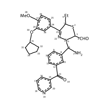 CCC1SC(C=O)N(C(N)c2cccc(C(=O)c3cccnc3)c2)N=C1c1ccc(OC)c(OC2CCCC2)c1